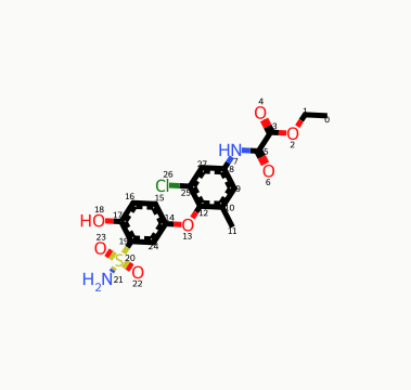 CCOC(=O)C(=O)Nc1cc(C)c(Oc2ccc(O)c(S(N)(=O)=O)c2)c(Cl)c1